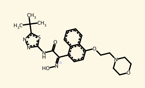 CC(C)(C)c1nnc(NC(=O)/C(=N\O)c2ccc(OCCN3CCOCC3)c3ccccc23)s1